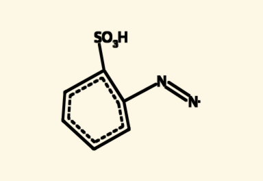 [N]=Nc1ccccc1S(=O)(=O)O